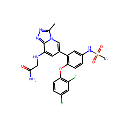 CCS(=O)(=O)Nc1ccc(Oc2ccc(F)cc2F)c(-c2cc(NCC(N)=O)c3nnc(C)n3c2)c1